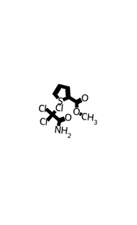 COC(=O)c1cccs1.NC(=O)C(Cl)(Cl)Cl